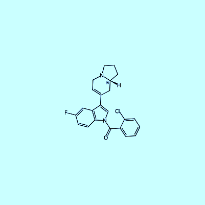 O=C(c1ccccc1Cl)n1cc(C2=CCN3CCC[C@@H]3C2)c2cc(F)ccc21